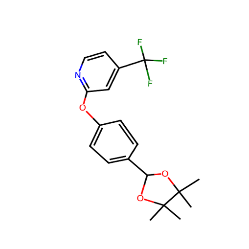 CC1(C)OC(c2ccc(Oc3cc(C(F)(F)F)ccn3)cc2)OC1(C)C